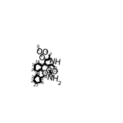 COC(=O)OC1=C(C)NC(C)=C(OC(N)=O)C1c1ccccc1OCc1ccccc1